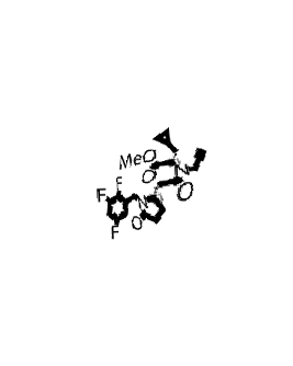 C#CCN(C(=O)C[C@@H]1CCC(=O)N1Cc1cc(F)cc(F)c1F)[C@@H](CC1CC1)C(=O)OC